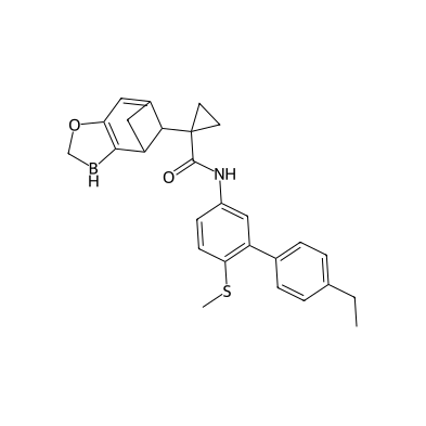 CCc1ccc(-c2cc(NC(=O)C3(C4C5=CC6=C(BCO6)C4C5)CC3)ccc2SC)cc1